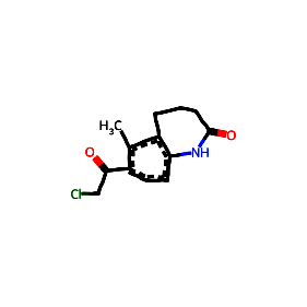 Cc1c(C(=O)CCl)ccc2c1CCCC(=O)N2